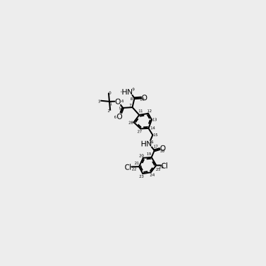 CC(C)(C)OC(=O)C(C([NH])=O)c1ccc(CNC(=O)c2cc(Cl)ccc2Cl)cc1